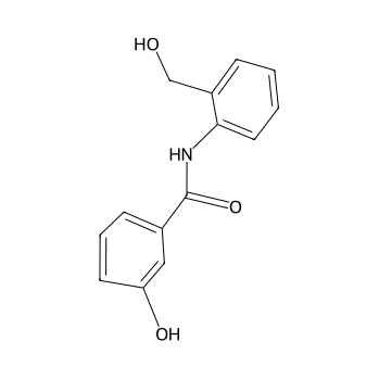 O=C(Nc1ccccc1CO)c1cccc(O)c1